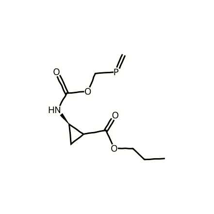 C=PCOC(=O)N[C@@H]1CC1C(=O)OCCC